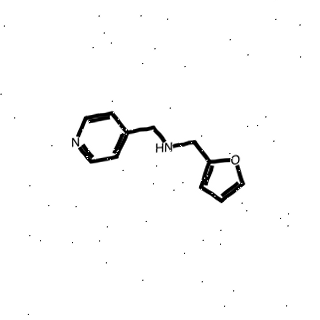 c1coc(CNCc2ccncc2)c1